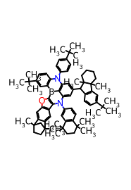 CC(C)(C)c1ccc(N2c3ccc(C(C)(C)C)cc3B3c4oc5cc6c(cc5c4N(c4ccc5c(c4)C(C)(C)CCC5(C)C)c4cc(C5c7ccc(C(C)(C)C)cc7C7(C)CCCCC57C)cc2c43)C2(C)CCC6(C)C2)cc1